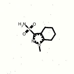 Cn1nc(S(N)(=O)=O)c2c1CCCC2